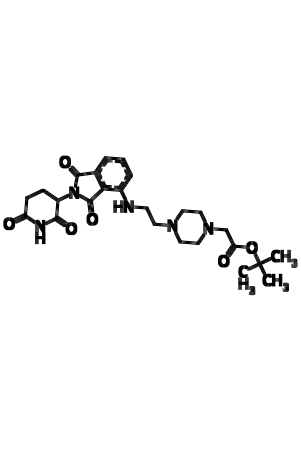 CC(C)(C)OC(=O)CN1CCN(CCNc2cccc3c2C(=O)N(C2CCC(=O)NC2=O)C3=O)CC1